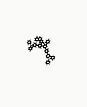 c1ccc(-n2c3ccccc3c3cc(-c4ccc(-c5cc(-c6ccc(-c7ccc8c(c7)c7ccccc7n8-c7ccccc7)cc6)c6c(c5)c5ccccc5n6-c5ccc6c(ccc7ccccc76)c5)cc4)ccc32)cc1